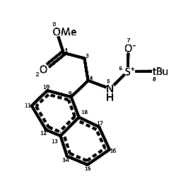 COC(=O)CC(N[S+]([O-])C(C)(C)C)c1cccc2ccccc12